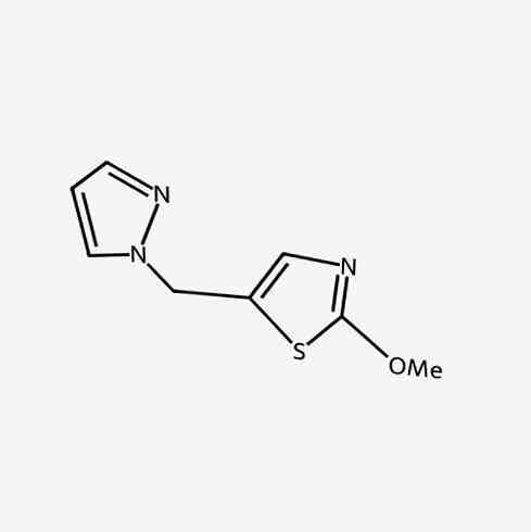 COc1ncc(Cn2cccn2)s1